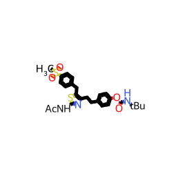 CC(=O)Nc1nc(CCc2ccc(OC(=O)NC(C)(C)C)cc2)c(Cc2ccc(S(C)(=O)=O)cc2)s1